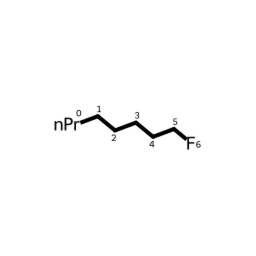 [CH2]CCCCCCCF